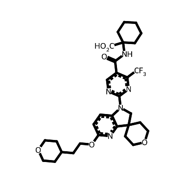 O=C(NC1(C(=O)O)CCCCC1)c1cnc(N2CC3(CCOCC3)c3nc(OCCC4CCOCC4)ccc32)nc1C(F)(F)F